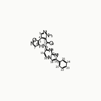 Cn1ncc(-c2ccno2)c1C(=O)Nc1ccn2cc(-c3ccccc3)nc2n1